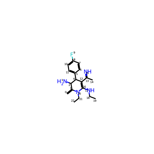 C=C1C(N)C(c2ccc(F)cc2)C(C(C)=N)=C(NCC)N1CC